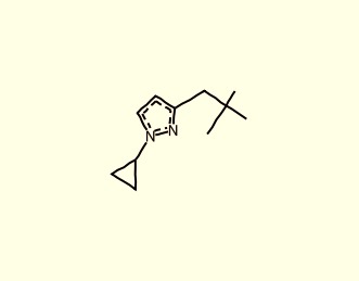 CC(C)(C)Cc1ccn(C2CC2)n1